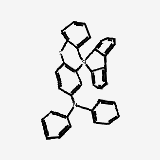 c1ccc(N(c2ccccc2)c2ccc3c(c2)[Si]2(c4ccccc4S3)c3ccccc3-c3ccccc32)cc1